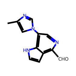 Cc1cn(-c2cnc(C=O)c3cc[nH]c23)cn1